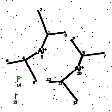 C[CH](C)[Al+][CH](C)C.C[CH](C)[Al+][CH](C)C.[F-].[I-]